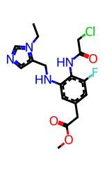 CCn1cncc1CNc1cc(CC(=O)OC)cc(F)c1NC(=O)CCl